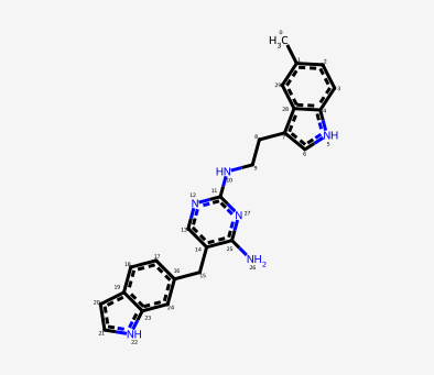 Cc1ccc2[nH]cc(CCNc3ncc(Cc4ccc5cc[nH]c5c4)c(N)n3)c2c1